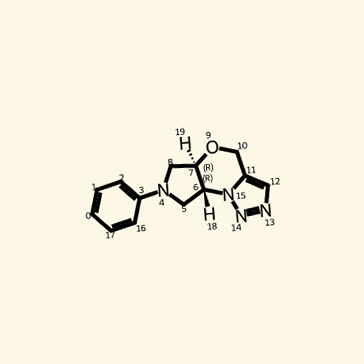 c1ccc(N2C[C@@H]3[C@@H](C2)OCc2cnnn23)cc1